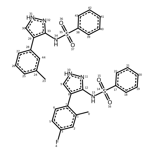 Cc1cc(F)ccc1-c1c[nH]nc1NS(=O)(=O)c1ccccc1.Cc1cccc(-c2c[nH]nc2NS(=O)(=O)c2ccccc2)c1